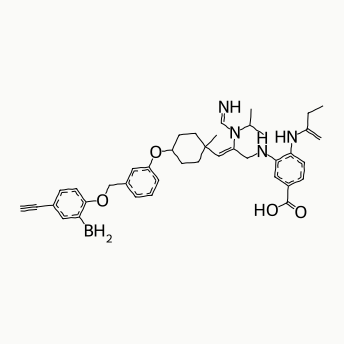 Bc1cc(C#C)ccc1OCc1cccc(OC2CCC(C)(/C=C(/CNc3cc(C(=O)O)ccc3NC(=C)CC)N(C=N)C(C)C)CC2)c1